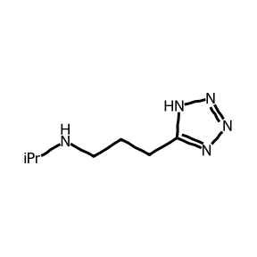 CC(C)NCCCc1nnn[nH]1